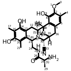 COc1c(C)cc2c(c1O)[C@H]1[C@@H]3Cc4c(O)c(C)c(O)c(C)c4[C@H](CNC(=O)[C@H](C)N)N3[C@@H](C#N)[C@@H](C2)N1C